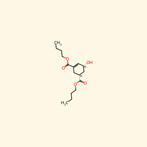 CCCCOC(=O)C1=C[C@H](O)C[C@H](C(=O)OCCCC)C1